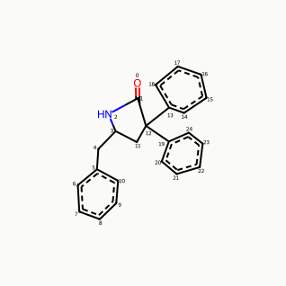 O=C1NC(Cc2ccccc2)CC1(c1ccccc1)c1ccccc1